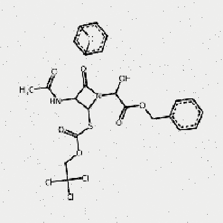 CC(=O)NC1C(=O)N(C(O)C(=O)OCc2ccccc2)C1SC(=O)OCC(Cl)(Cl)Cl.c1cc2cc(c1)O2